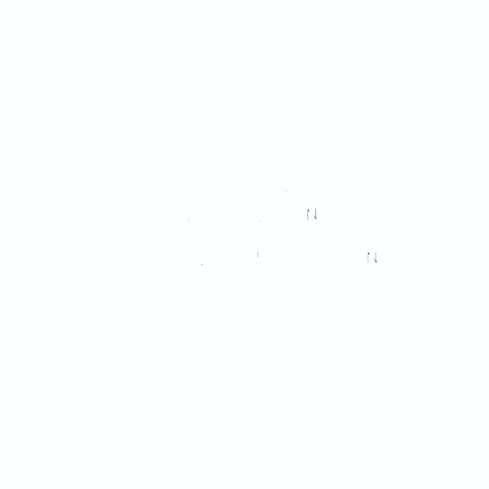 Cc1ccc(CC(=O)Cn2ccnc2)cc1